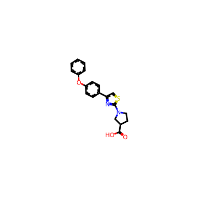 O=C(O)C1CCN(c2nc(-c3ccc(Oc4ccccc4)cc3)cs2)C1